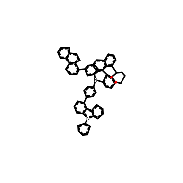 c1ccc(-n2c3ccccc3c3c(-c4ccc(N(c5cccc(-c6cccc7c6ccc6ccccc67)c5)c5ccccc5-c5cccc6cccc(C7CCCCC7)c56)cc4)cccc32)cc1